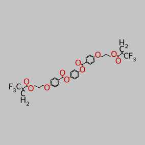 C=C(C(=O)OCCCOc1ccc(C(=O)Oc2ccc(OC(=O)c3ccc(OCCCOC(=O)C(=C)C(F)(F)F)cc3)cc2)cc1)C(F)(F)F